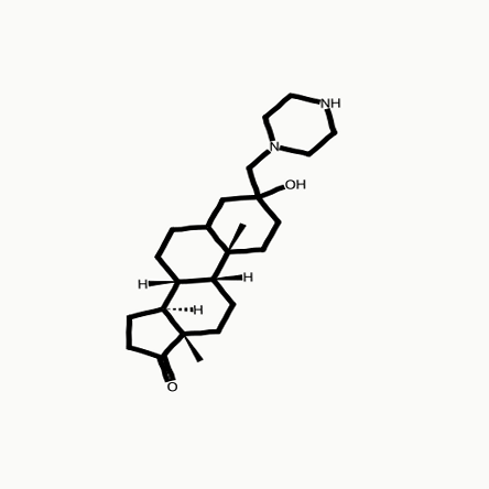 C[C@]12CCC(O)(CN3CCNCC3)CC1CC[C@@H]1[C@H]2CC[C@]2(C)C(=O)CC[C@@H]12